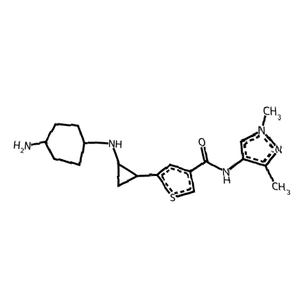 Cc1nn(C)cc1NC(=O)c1csc(C2CC2NC2CCC(N)CC2)c1